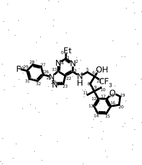 CCc1nc(NCC(O)(CC(C)(C)c2cccc3c2OCC3)C(F)(F)F)c2cnn(-c3ccc(F)cc3)c2n1